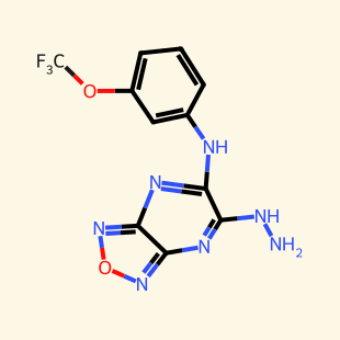 NNc1nc2nonc2nc1Nc1cccc(OC(F)(F)F)c1